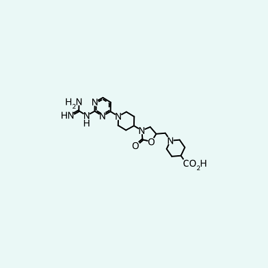 N=C(N)Nc1nccc(N2CCC(N3CC(CN4CCC(C(=O)O)CC4)OC3=O)CC2)n1